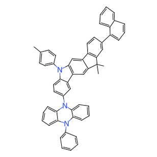 Cc1ccc(-n2c3ccc(N4c5ccccc5N(c5ccccc5)c5ccccc54)cc3c3cc4c(cc32)-c2ccc(-c3cccc5ccccc35)cc2C4(C)C)cc1